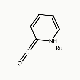 O=C=C1C=CC=CN1.[Ru]